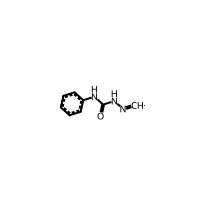 [CH]=NNC(=O)Nc1ccccc1